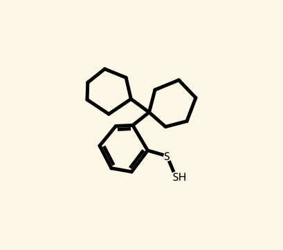 SSc1ccccc1C1(C2CCCCC2)CCCCC1